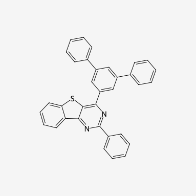 c1ccc(-c2cc(-c3ccccc3)cc(-c3nc(-c4ccccc4)nc4c3sc3ccccc34)c2)cc1